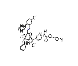 O=C(/C=C/c1cc(Cl)ccc1-n1cnnn1)N[C@@H](Cc1ccccc1)c1nc(-c2ccc(NC(=O)OCCOCI)nc2)c(Cl)[nH]1